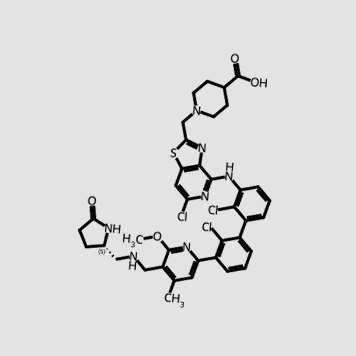 COc1nc(-c2cccc(-c3cccc(Nc4nc(Cl)cc5sc(CN6CCC(C(=O)O)CC6)nc45)c3Cl)c2Cl)cc(C)c1CNC[C@@H]1CCC(=O)N1